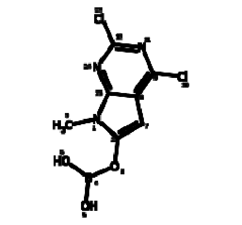 Cn1c(OB(O)O)cc2c(Cl)nc(Cl)nc21